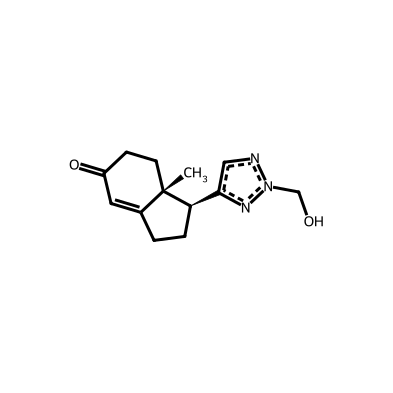 C[C@]12CCC(=O)C=C1CC[C@@H]2c1cnn(CO)n1